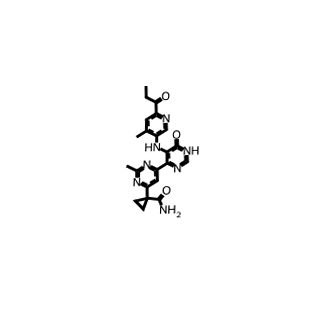 CCC(=O)c1cc(C)c(Nc2c(-c3cc(C4(C(N)=O)CC4)nc(C)n3)nc[nH]c2=O)cn1